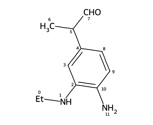 CCNc1cc(C(C)C=O)ccc1N